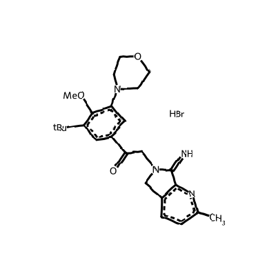 Br.COc1c(N2CCOCC2)cc(C(=O)CN2Cc3ccc(C)nc3C2=N)cc1C(C)(C)C